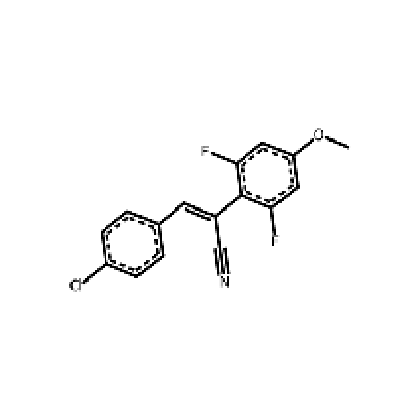 COc1cc(F)c(C(C#N)=Cc2ccc(Cl)cc2)c(F)c1